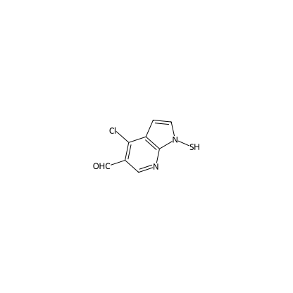 O=Cc1cnc2c(ccn2S)c1Cl